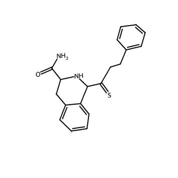 NC(=O)C1Cc2c[c]ccc2C(C(=S)CCc2ccccc2)N1